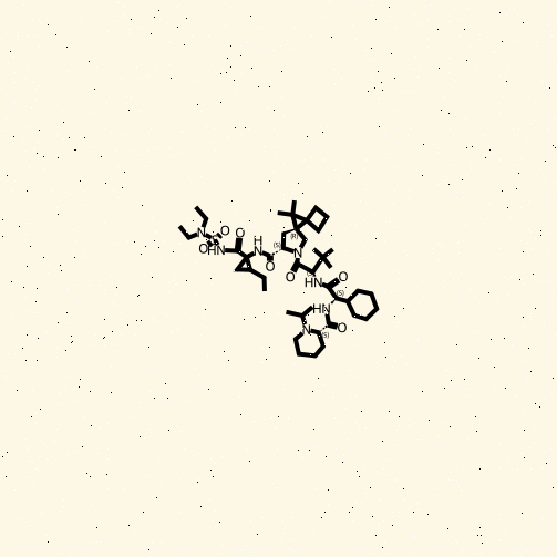 CCC1CC1(NC(=O)[C@@H]1C[C@@]2(CN1C(=O)[C@@H](NC(=O)[C@@H](NC(=O)[C@@H]1CCCCN1C(C)C)C1CCCCC1)C(C)(C)C)C(C)(C)C21CCC1)C(=O)NS(=O)(=O)N(CC)CC